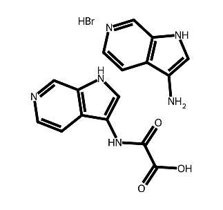 Br.Nc1c[nH]c2cnccc12.O=C(O)C(=O)Nc1c[nH]c2cnccc12